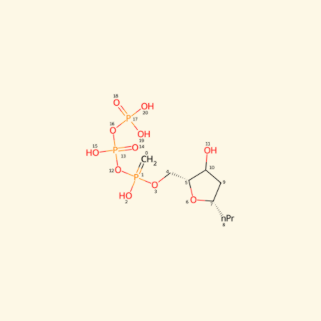 C=P(O)(OC[C@H]1O[C@@H](CCC)CC1O)OP(=O)(O)OP(=O)(O)O